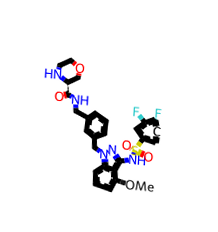 COc1cccc2c1c(NS(=O)(=O)c1ccc(F)c(F)c1)nn2Cc1cccc(CNC(=O)[C@H]2COCCN2)c1